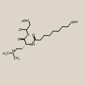 CCCCCCCCCCCCCCCCCC(=O)N[C@H](CC[SH](C)C)C(=O)OC(Cl)CCCCCCCCCCC